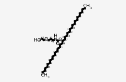 CCCCCCCCCCCCCCCCCCC(CCCCCCCCCCCCCCCCC)OC(=O)NCCCOCCO